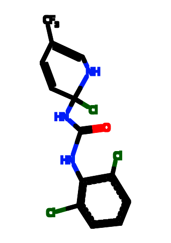 O=C(Nc1c(Cl)cccc1Cl)NC1(Cl)C=CC(C(F)(F)F)=CN1